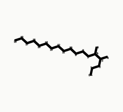 [CH2]CCC(C)C(C)CCCCCCCCCCCCC